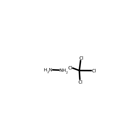 ClC(Cl)(Cl)Cl.NN